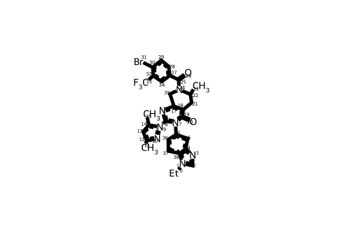 CCn1cnc2cc(-n3c(-n4nc(C)cc4C)nc4c(c3=O)CC(C)N(C(=O)c3ccc(Br)c(C(F)(F)F)c3)C4)ccc21